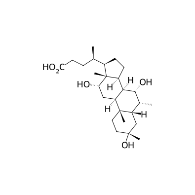 C[C@H]1[C@@H](O)[C@H]2[C@H](C[C@H](O)[C@]3(C)[C@@H]([C@H](C)CCC(=O)O)CC[C@@H]23)[C@@]2(C)CC[C@@](C)(O)C[C@@H]12